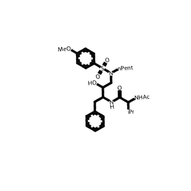 CCCCCN(CC(O)C(Cc1ccccc1)NC(=O)C(NC(C)=O)C(C)C)S(=O)(=O)c1ccc(OC)cc1